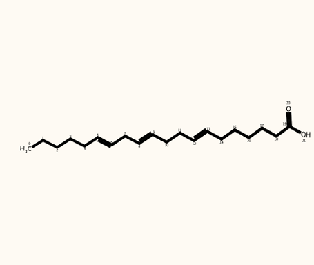 CCCCCC=CCC=CCCC=CCCCCCC(=O)O